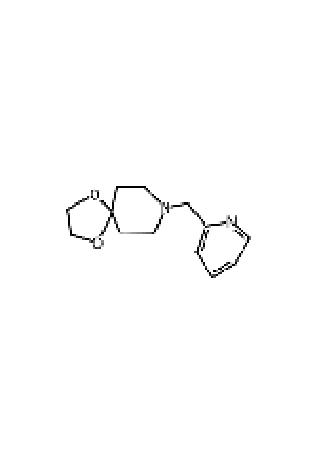 c1ccc(CN2CCC3(CC2)OCCO3)nc1